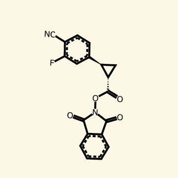 N#Cc1ccc([C@H]2C[C@@H]2C(=O)ON2C(=O)c3ccccc3C2=O)cc1F